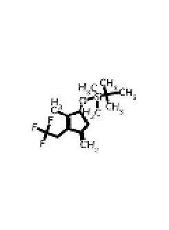 C=C1C[C@H](O[Si](C)(C)C(C)(C)C)C(C)=C1CC(F)(F)F